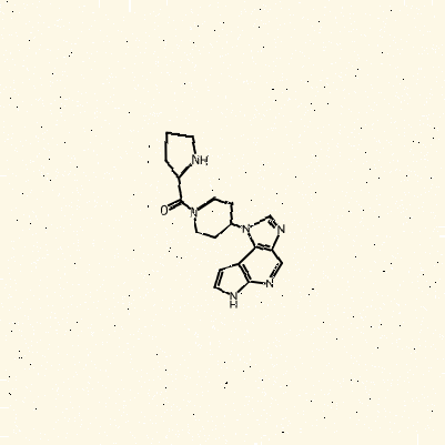 O=C(C1CCCN1)N1CCC(n2cnc3cnc4[nH]ccc4c32)CC1